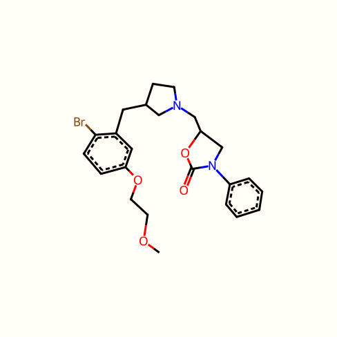 COCCOc1ccc(Br)c(CC2CCN(CC3CN(c4ccccc4)C(=O)O3)C2)c1